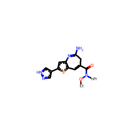 CCCN(OCC)C(=O)C1=Cc2sc(-c3cn[nH]c3)cc2N=C(N)C1